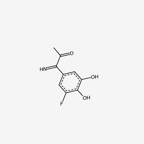 CC(=O)C(=N)c1cc(O)c(O)c(F)c1